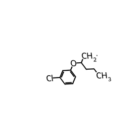 [CH2]C(CCC)Oc1cccc(Cl)c1